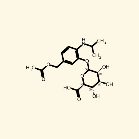 CC(=O)OCc1ccc(NC(C)C)c(O[C@@H]2O[C@H](C(=O)O)[C@@H](O)[C@H](O)[C@H]2O)c1